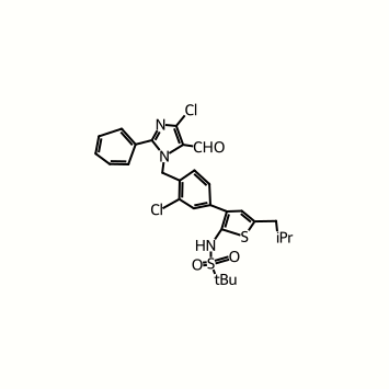 CC(C)Cc1cc(-c2ccc(Cn3c(-c4ccccc4)nc(Cl)c3C=O)c(Cl)c2)c(NS(=O)(=O)C(C)(C)C)s1